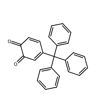 O=C1C=CC(C(c2ccccc2)(c2ccccc2)c2ccccc2)=CC1=O